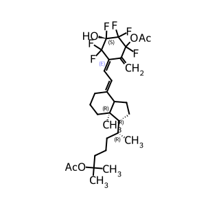 C=C1/C(=C\C=C2CCC[C@@]3(C)C2CC[C@@H]3[C@H](C)CCCC(C)(C)OC(C)=O)C(F)(F)[C@](O)(F)C(F)(F)C1(F)OC(C)=O